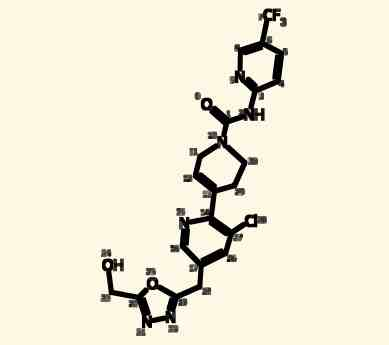 O=C(Nc1ccc(C(F)(F)F)cn1)N1CC=C(c2ncc(Cc3nnc(CO)o3)cc2Cl)CC1